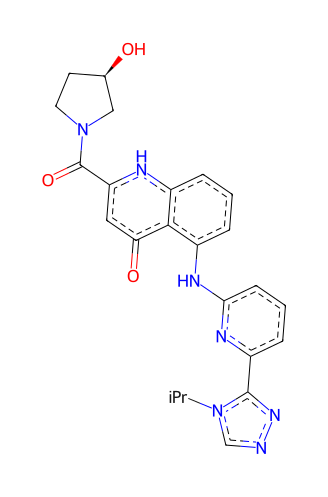 CC(C)n1cnnc1-c1cccc(Nc2cccc3[nH]c(C(=O)N4CC[C@@H](O)C4)cc(=O)c23)n1